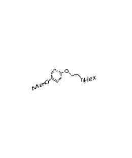 [CH2]Oc1ccc(OCCCCCCCC)cc1